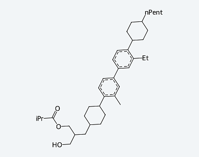 CCCCCC1CCC(c2ccc(-c3ccc(C4CCC(CC(CO)COC(=O)C(C)C)CC4)c(C)c3)cc2CC)CC1